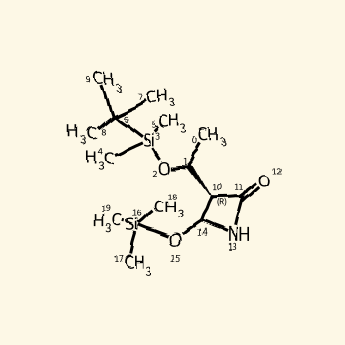 CC(O[Si](C)(C)C(C)(C)C)[C@H]1C(=O)NC1O[Si](C)(C)C